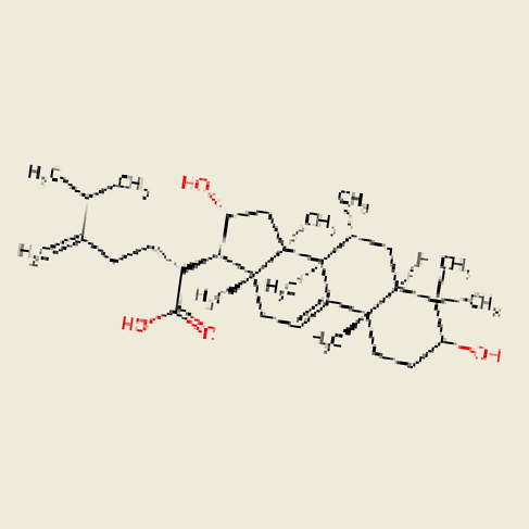 C=C(CC[C@@H](C(=O)O)[C@H]1[C@H](O)C[C@]2(C)[C@]1(C)CC=C1[C@@]3(C)CCC(O)C(C)(C)[C@@H]3C[C@@H](C)[C@@]12C)C(C)C